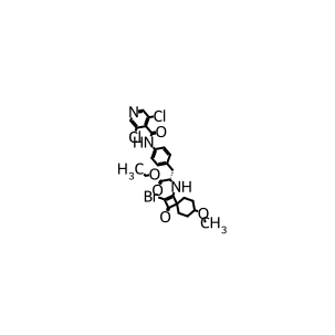 CCOC(=O)[C@H](Cc1ccc(NC(=O)c2c(Cl)cncc2Cl)cc1)NC1=C(Br)C(=O)C12CCC(OC)CC2